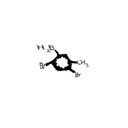 Bc1cc(C)c(Br)cc1Br